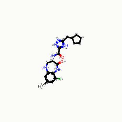 Cc1cc(F)c2c(c1)NC[C@H](NC(=O)c1nnc(CC3CCCC3)[nH]1)C(=O)N2